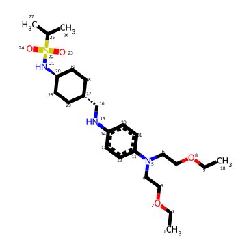 CCOCCN(CCOCC)c1ccc(NC[C@H]2CC[C@H](NS(=O)(=O)C(C)C)CC2)cc1